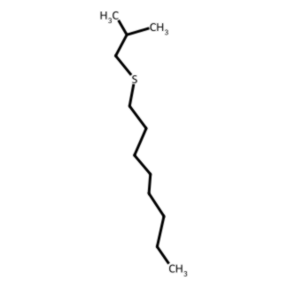 CCCCCCCCSCC(C)C